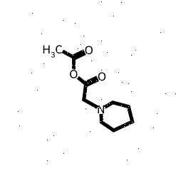 CC(=O)OC(=O)CN1CCCCC1